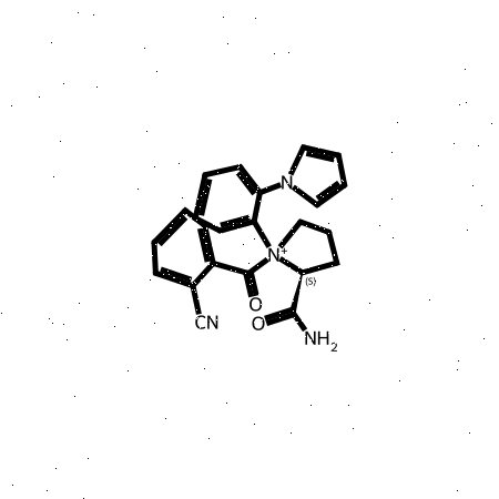 N#Cc1ccccc1C(=O)[N+]1(c2ccccc2-n2cccc2)CCC[C@H]1C(N)=O